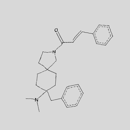 CN(C)C1(Cc2ccccc2)CCC2(CCN(C(=O)C=Cc3ccccc3)C2)CC1